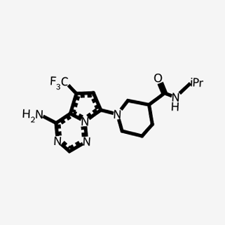 CC(C)NC(=O)C1CCCN(c2cc(C(F)(F)F)c3c(N)ncnn23)C1